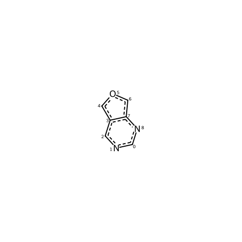 c1ncc2cocc2n1